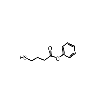 O=C(CCCS)Oc1ccccc1